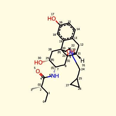 CC[C@H](C)C(=O)N[C@H]1C[C@@]2(O)[C@H]3Cc4ccc(O)cc4[C@@]2(CCN3CC2CC2)C[C@H]1O